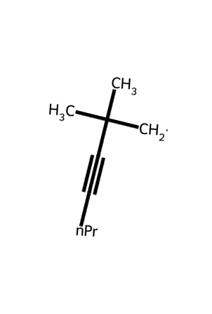 [CH2]C(C)(C)C#CCCC